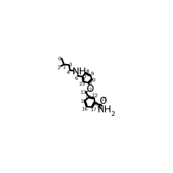 CC(C)CCNCc1cccc(OCc2cccc(C(N)=O)c2)c1